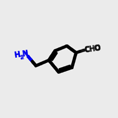 NCC1=CCC(C=O)C=C1